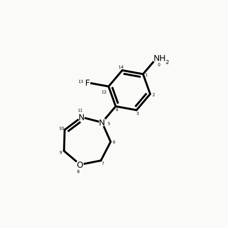 Nc1ccc(N2CCOCC=N2)c(F)c1